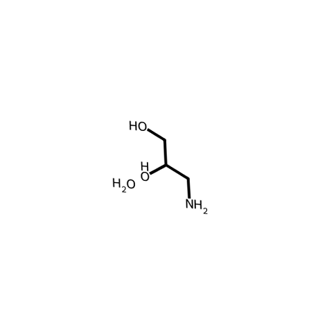 NCC(O)CO.O